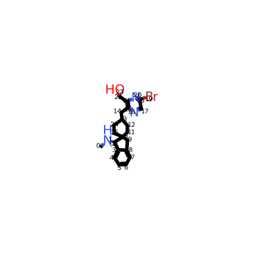 CN[C@@H]1c2ccccc2CC12CCC(Cc1ncc(Br)nc1CO)CC2